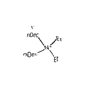 CCCCCCCCCC[N+](CC)(CC)CCCCCCCCCC.[I-]